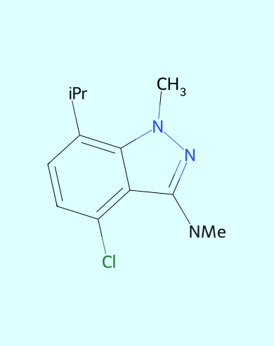 CNc1nn(C)c2c(C(C)C)ccc(Cl)c12